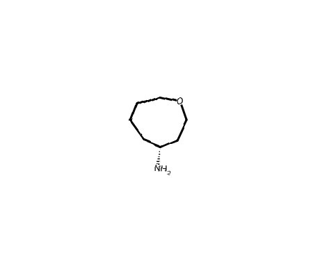 N[C@@H]1CCCCOCC1